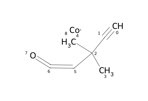 C#CC(C)(C)C=C=O.[Co]